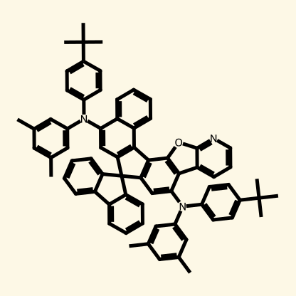 Cc1cc(C)cc(N(c2ccc(C(C)(C)C)cc2)c2cc3c(c4ccccc24)-c2c(cc(N(c4ccc(C(C)(C)C)cc4)c4cc(C)cc(C)c4)c4c2oc2ncccc24)C32c3ccccc3-c3ccccc32)c1